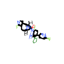 O=C(Nc1cc(Cl)c(-c2ccc(F)nc2)cc1F)N1[C@H]2CC[C@@H]1c1ccnc(F)c1C2